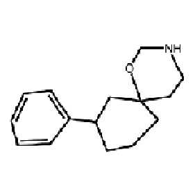 c1ccc(C2CCCC3(CCNCO3)C2)cc1